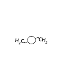 C=CC1CCCC(C=C)CCC1